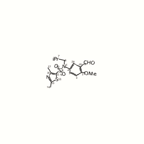 COc1ccc(N(CC(C)C)S(=O)(=O)c2sc(C)nc2C)cc1C=O